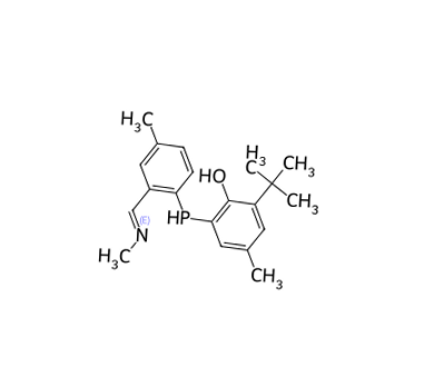 C/N=C/c1cc(C)ccc1Pc1cc(C)cc(C(C)(C)C)c1O